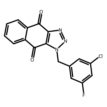 O=C1c2ccccc2C(=O)c2c1nnn2Cc1cc(F)cc(Cl)c1